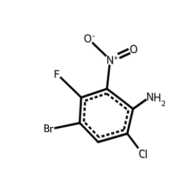 Nc1c(Cl)cc(Br)c(F)c1[N+](=O)[O-]